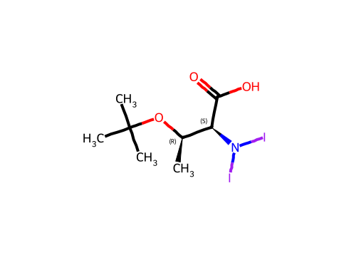 C[C@@H](OC(C)(C)C)[C@@H](C(=O)O)N(I)I